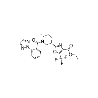 CCOC(=O)c1nc([C@@H]2CC[C@@H](C)N(C(=O)c3ccccc3-n3nccn3)C2)oc1C(F)(F)F